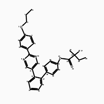 CCCOc1ccc(-c2ncc(-c3ccccc3-c3ccc(OC(=O)C(C)(F)CC)cc3)cn2)cc1